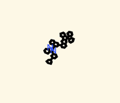 c1ccc(-c2cccc(-c3nc(-c4cc(-c5cccc6cc7c(cc56)-c5ccccc5C7(c5ccccc5)c5ccccc5)cc5ccccc45)nc4ccccc34)c2)cc1